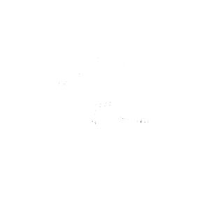 C=CCS(=O)(=O)[O-].CCCC[n+]1ccn(CC)c1